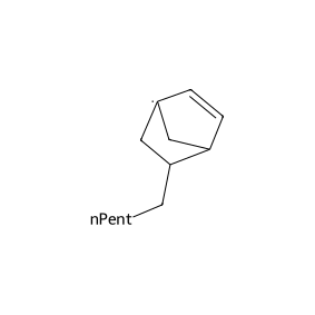 CCCCCCC1C[C]2C=CC1C2